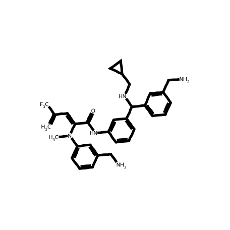 C=C(/C=C(/C(=O)Nc1cccc(C(NCC2CC2)c2cccc(CN)c2)c1)N(C)c1cccc(CN)c1)C(F)(F)F